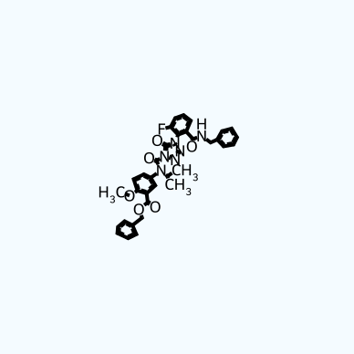 COc1ccc(N(C(=O)n2nnn(-c3c(F)cccc3C(=O)NCc3ccccc3)c2=O)C(C)C)cc1C(=O)OCc1ccccc1